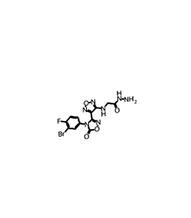 NNC(=O)CNc1nonc1-c1noc(=O)n1-c1ccc(F)c(Br)c1